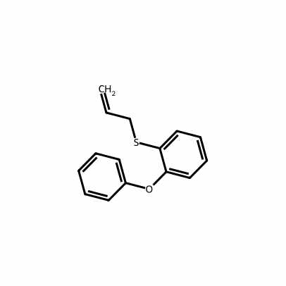 C=CCSc1ccccc1Oc1ccccc1